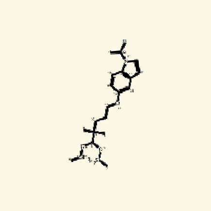 C[SiH2]OC(O[SiH2]C)C(C)(C)CCCOc1ccc2c(ccn2C(C)C)c1